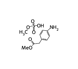 COC(=O)Cc1ccc(N)cc1.COS(=O)(=O)O